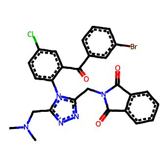 CN(C)Cc1nnc(CN2C(=O)c3ccccc3C2=O)n1-c1ccc(Cl)cc1C(=O)c1cccc(Br)c1